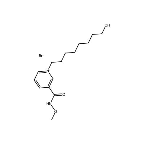 CONC(=O)c1ccc[n+](CCCCCCCCO)c1.[Br-]